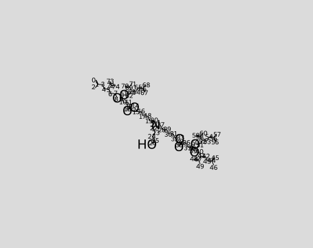 C=C(C)CCC(CCOC(CCC(=O)OCCCCCCN(CCCCO)CCCCCCOC(=O)CCC(OCC(CCC(=C)C)C(=C)C)OCC(CCC(=C)C)C(=C)C)OCC(CCC(=C)C)C(=C)C)C(=C)C